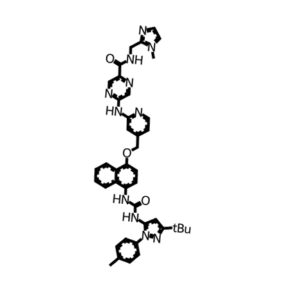 Cc1ccc(-n2nc(C(C)(C)C)cc2NC(=O)Nc2ccc(OCc3ccnc(Nc4cnc(C(=O)NCc5nccn5C)cn4)c3)c3ccccc23)cc1